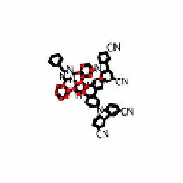 N#Cc1ccc2c(c1)c1cc(C#N)ccc1n2-c1ccc(-c2nc(-c3ccccc3)nc(-c3ccccc3)n2)c(-c2ccccc2-c2ccccc2-c2cc(-n3c4ccc(C#N)cc4c4cc(C#N)ccc43)ccc2-c2nc(-c3ccccc3)nc(-c3ccccc3)n2)c1